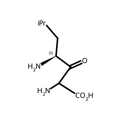 CC(C)C[C@H](N)C(=O)C(N)C(=O)O